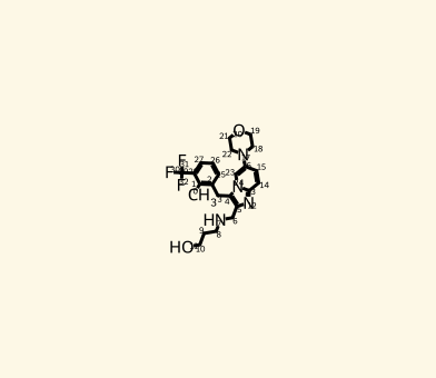 Cc1c(Cc2c(CNCCCO)nc3ccc(N4CCOCC4)cn23)cccc1C(F)(F)F